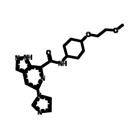 COCCOC1CCC(NC(=O)c2nc(-n3ccnc3)cc3cn[nH]c23)CC1